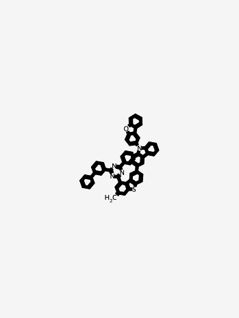 C=C1C=C(c2nc(-c3ccccc3)nc(-c3cccc(-c4ccccc4)c3)n2)c2c(sc3ccc(-c4ccc5c(c4)c4ccccc4n5-c4ccc5oc6ccccc6c5c4)cc23)C1